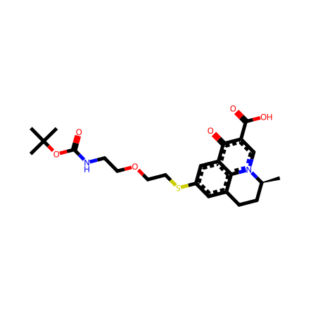 C[C@H]1CCc2cc(SCCOCCNC(=O)OC(C)(C)C)cc3c(=O)c(C(=O)O)cn1c23